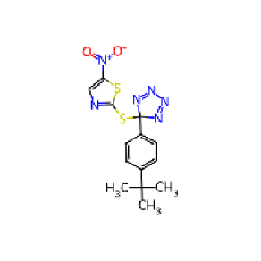 CC(C)(C)c1ccc(C2(Sc3ncc([N+](=O)[O-])s3)N=NN=N2)cc1